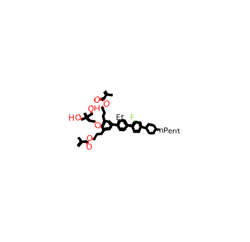 C=C(C)C(=O)OCCCc1cc(-c2ccc(-c3ccc(C4CCC(CCCCC)CC4)cc3F)cc2CC)cc(CCCOC(=O)C(=C)C)c1OCCC(C)(CO)CO